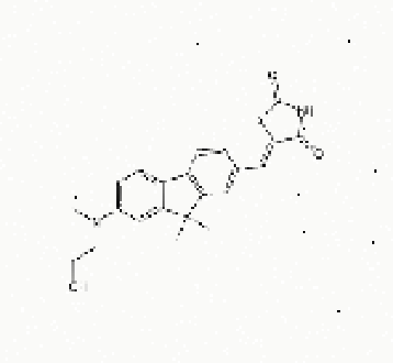 CN(CCO)c1ccc2c(c1)C(C)(C)c1cc(/C=C3\SC(=O)NC3=O)ccc1-2